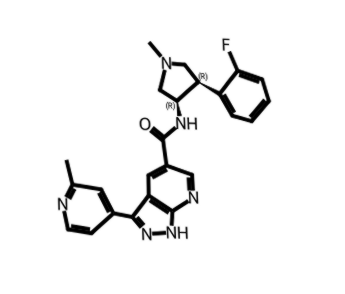 Cc1cc(-c2n[nH]c3ncc(C(=O)N[C@H]4CN(C)C[C@H]4c4ccccc4F)cc23)ccn1